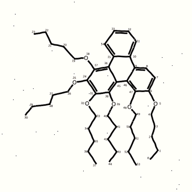 CCCCCOc1ccc2c3ccccc3c3c(OCCCCC)c(OCCCCC)c(OCCCCC)c(OCCCCC)c3c2c1OCCCCC